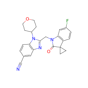 N#Cc1ccc2c(c1)nc(CN1C(=O)C3(CC3)c3ccc(F)cc31)n2C1CCOCC1